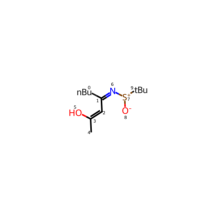 CCCCC(/C=C(/C)O)=N/[S+]([O-])C(C)(C)C